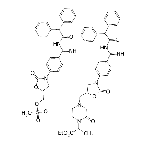 CCOC(=O)C(C)N1CCN(CC2CN(c3ccc(C(=N)NC(=O)C(c4ccccc4)c4ccccc4)cc3)C(=O)O2)CC1=O.CS(=O)(=O)OCC1CN(c2ccc(C(=N)NC(=O)C(c3ccccc3)c3ccccc3)cc2)C(=O)O1